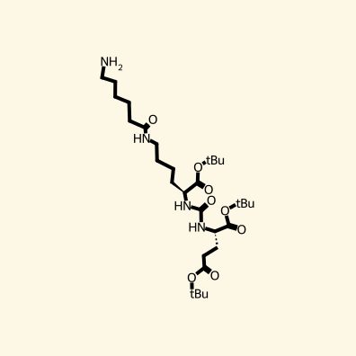 CC(C)(C)OC(=O)CC[C@H](NC(=O)N[C@@H](CCCCNC(=O)CCCCCN)C(=O)OC(C)(C)C)C(=O)OC(C)(C)C